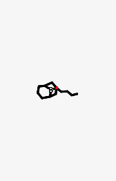 CCCCCB1C2CCCC1CCC2